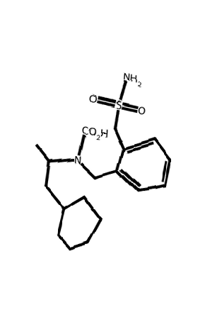 CC(CC1CCCCC1)N(Cc1ccccc1CS(N)(=O)=O)C(=O)O